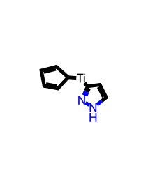 C1=C[CH]([Ti][c]2cc[nH]n2)C=C1